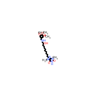 COc1cc(CNCC(O)CCCCCCCCCc2nc3c(c(=O)[nH]c(=O)n3C)n2C)cc(OC)c1OC